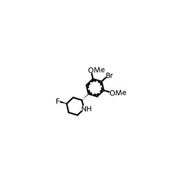 COc1cc([C@H]2C[C@H](F)CCN2)cc(OC)c1Br